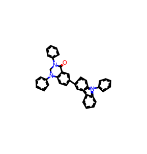 O=C1c2cc(-c3ccc4c(c3)c3ccccc3n4-c3ccccc3)ccc2N(c2ccccc2)CN1c1ccccc1